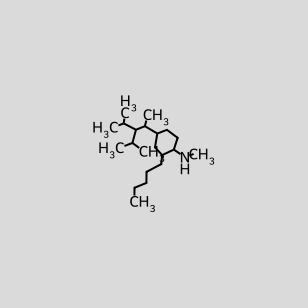 CCCCCC1CC(C(C)C(C(C)C)C(C)C)CCC1NC